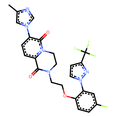 Cc1cn(-c2ccc3n(c2=O)CCN(CCOc2ccc(F)cc2-n2ccc(C(F)(F)F)n2)C3=O)cn1